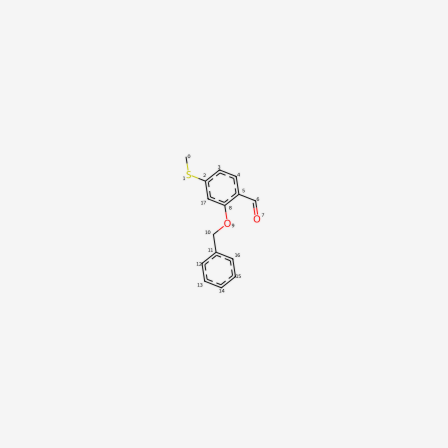 CSc1ccc(C=O)c(OCc2ccccc2)c1